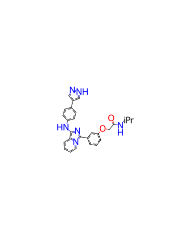 CC(C)NC(=O)COc1cccc(-c2nc(Nc3ccc(-c4cn[nH]c4)cc3)c3ccccn23)c1